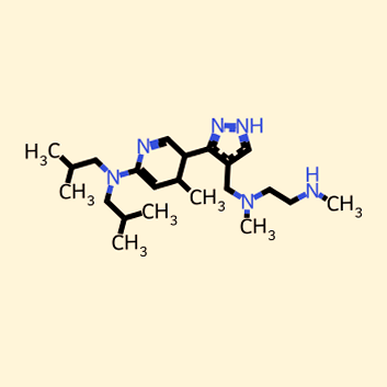 CNCCN(C)Cc1c[nH]nc1C1C=NC(N(CC(C)C)CC(C)C)=CC1C